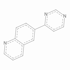 c1cnc2ccc(-c3ccncn3)cc2c1